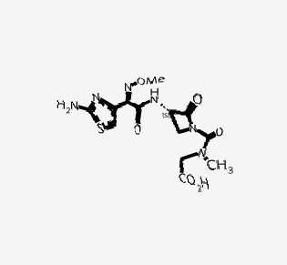 CON=C(C(=O)N[C@H]1CN(C(=O)N(C)CC(=O)O)C1=O)c1csc(N)n1